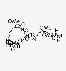 COCC(CCC(=O)N(C)CC(=O)O[C@H]1CC(=O)N(C)c2cc(cc(OC)c2Cl)C/C(C)=C/C=C/[C@@H](OC)[C@@]2(O)C[C@H](OC(=O)N2)C2C[C@@]1(C)O2)(COC)SSCCCC(=O)NNI